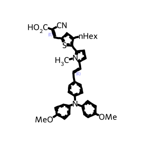 CCCCCCc1cc(/C=C(\C#N)C(=O)O)sc1-c1ccc(/C=C/c2ccc(N(c3ccc(OC)cc3)c3ccc(OC)cc3)cc2)n1C